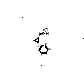 ClNC[C@@H]1C[C@H]1c1ccccc1